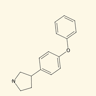 c1ccc(Oc2ccc(C3CC[N]C3)cc2)cc1